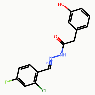 O=C(Cc1cccc(O)c1)N/N=C/c1ccc(F)cc1Cl